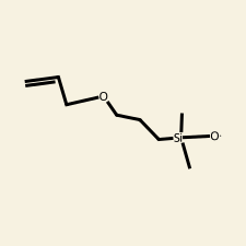 C=CCOCCC[Si](C)(C)[O]